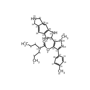 CCCN(CCC)C(=O)Oc1c(-c2ccc(C)cc2)nn(C)c1C1Nc2cc3c(cc2N1)CNC3